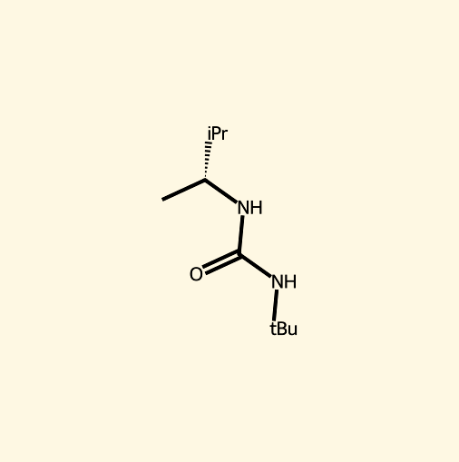 CC(C)[C@@H](C)NC(=O)NC(C)(C)C